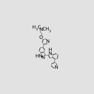 CN(C)CCOc1cncc(-c2ccc3[nH]nc(-c4cc5c(-c6cccnc6)cccc5[nH]4)c3c2)c1